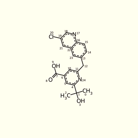 CC(C)(O)c1cc(C(=O)O)cc(Cc2ccc3ncc(Cl)cc3c2)n1